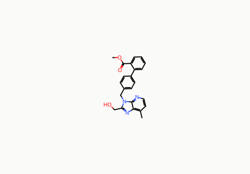 COC(=O)c1ccccc1-c1ccc(Cn2c(CO)nc3c(C)ccnc32)cc1